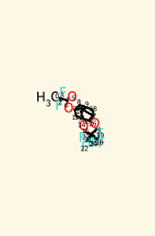 CC(F)(F)C(=O)OC12CC3CC(C1)C1(OCC(C(F)(F)F)(C(F)(F)F)CO1)C(C3)C2